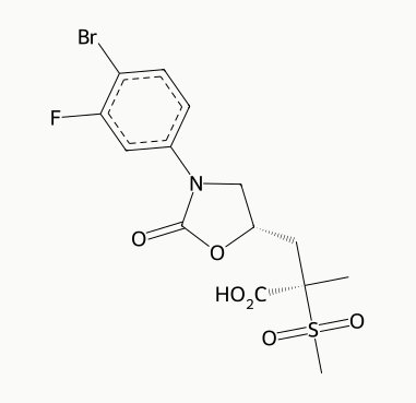 C[C@@](C[C@H]1CN(c2ccc(Br)c(F)c2)C(=O)O1)(C(=O)O)S(C)(=O)=O